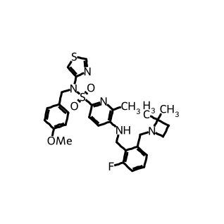 COc1ccc(CN(c2cscn2)S(=O)(=O)c2ccc(NCc3c(F)cccc3CN3CCC3(C)C)c(C)n2)cc1